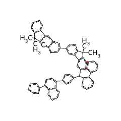 CC1(C)c2ccc(-c3ccc4cc5c(cc4c3)-c3ccccc3C5(C)C)cc2-c2cc(C(c3ccc(-c4ccc(-c5ccccc5)c5ccccc45)cc3)c3ccccc3-c3ccccc3)ccc21